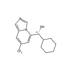 O[C@@H](c1cc(C(F)(F)F)cc2cncn12)C1CCCCC1